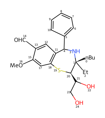 CCCC[C@]1(CC)NC(c2ccccc2)c2cc(C=O)c(OC)cc2S[C@@H]1C(O)CO